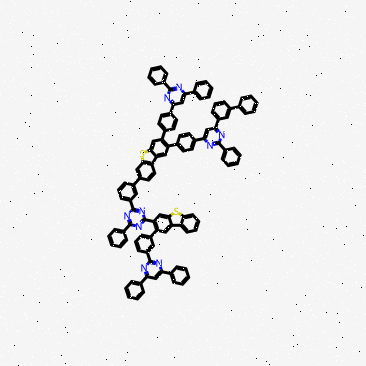 c1ccc(-c2cccc(-c3cc(-c4ccc(-c5cc6c(cc5-c5ccc(-c7cc(-c8ccccc8)nc(-c8ccccc8)n7)cc5)sc5cc(-c7cccc(-c8nc(-c9ccccc9)nc(-c9cc%10sc%11ccccc%11c%10cc9-c9cccc(-c%10nc(-c%11ccccc%11)cc(-c%11ccccc%11)n%10)c9)n8)c7)ccc56)cc4)nc(-c4ccccc4)n3)c2)cc1